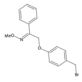 CON=C(COc1ccc(CBr)cc1)c1ccccc1